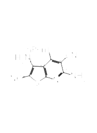 CCCCCc1c(C#N)c(N)nc2sc(C#N)c(N)c12